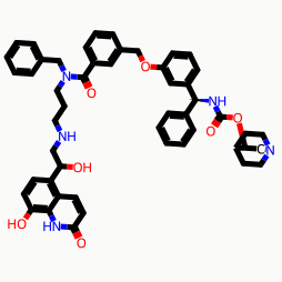 O=C(N[C@@H](c1ccccc1)c1cccc(OCc2cccc(C(=O)N(CCCNCC(O)c3ccc(O)c4[nH]c(=O)ccc34)Cc3ccccc3)c2)c1)OC1CN2CCC1CC2